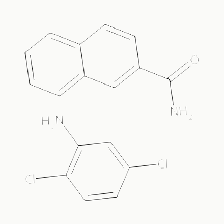 NC(=O)c1ccc2ccccc2c1.Nc1cc(Cl)ccc1Cl